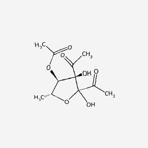 CC(=O)O[C@@H]1[C@@H](C)OC(O)(C(C)=O)[C@@]1(O)C(C)=O